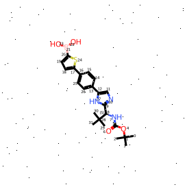 CC(C)(C)OC(=O)N[C@H](c1ncc(-c2ccc(-c3ccc(B(O)O)s3)cc2)[nH]1)C(C)(C)C